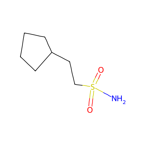 NS(=O)(=O)CCC1CCCC1